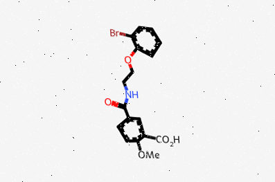 COc1ccc(C(=O)NCCOc2ccccc2Br)cc1C(=O)O